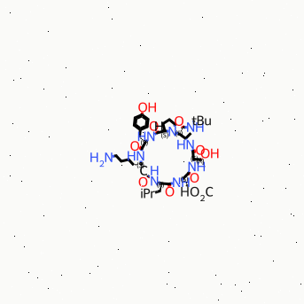 CC(C)C[C@H]1NC(=O)C[C@H](CCCCN)NC(=O)[C@H](Cc2ccc(O)cc2)NC(=O)[C@@H]2CCCN2[C@H](C(=O)NC(C)(C)C)C(C)NC(=O)[C@H]([C@@H](C)O)NC(=O)[C@H](CC(=O)O)NC1=O